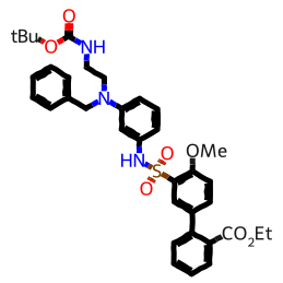 CCOC(=O)c1ccccc1-c1ccc(OC)c(S(=O)(=O)Nc2cccc(N(CCNC(=O)OC(C)(C)C)Cc3ccccc3)c2)c1